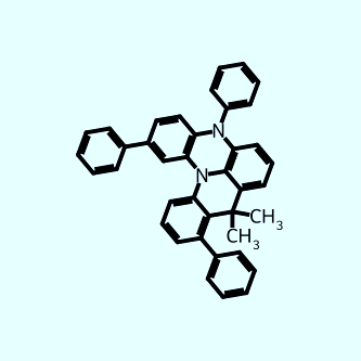 CC1(C)c2cccc3c2N(c2cc(-c4ccccc4)ccc2N3c2ccccc2)c2cccc(-c3ccccc3)c21